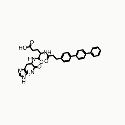 NC(=O)C(Cc1c[nH]cn1)NC(=O)C(CCC(=O)O)NC(=O)CCc1ccc(-c2ccc(-c3ccccc3)cc2)cc1